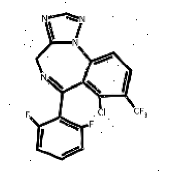 Fc1cccc(F)c1C1=NCc2ncnn2-c2ccc(C(F)(F)F)c(Cl)c21